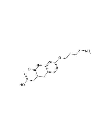 NCCCCOc1ccc2c(c1)NC(=O)C(CC(=O)O)C2